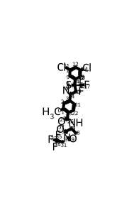 Cc1cc(C2=NS[C@@](c3cc(Cl)cc(Cl)c3)(C(F)(F)F)C2)ccc1C(=O)N[C@@H]1CON(CC(F)(F)F)C1=O